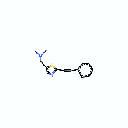 CN(C)Cc1cnc(C#Cc2ccccc2)s1